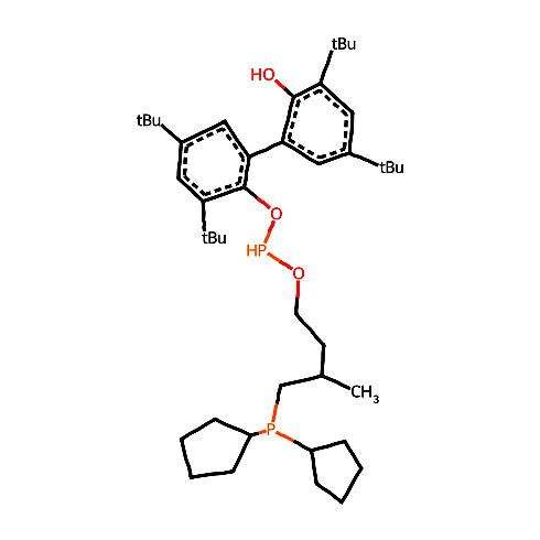 CC(CCOPOc1c(-c2cc(C(C)(C)C)cc(C(C)(C)C)c2O)cc(C(C)(C)C)cc1C(C)(C)C)CP(C1CCCC1)C1CCCC1